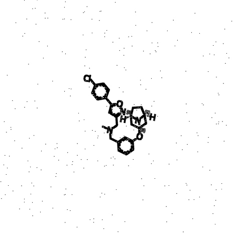 CN(Cc1cccc(O[C@H]2C[C@H]3CC[C@@H](C2)N3C)c1)Cc1cc(-c2ccc(Cl)cc2)on1